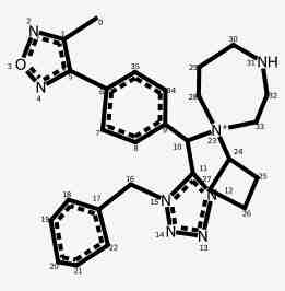 Cc1nonc1-c1ccc(C(c2nnnn2Cc2ccccc2)[N+]2(C3CCC3)CCCNCC2)cc1